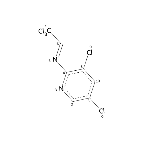 Clc1cnc(/N=C/C(Cl)(Cl)Cl)c(Cl)c1